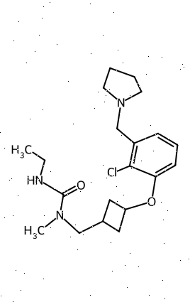 CCNC(=O)N(C)CC1CC(Oc2cccc(CN3CCCC3)c2Cl)C1